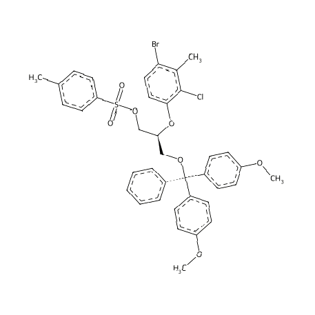 COc1ccc(C(OC[C@@H](COS(=O)(=O)c2ccc(C)cc2)Oc2ccc(Br)c(C)c2Cl)(c2ccccc2)c2ccc(OC)cc2)cc1